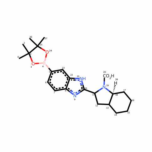 CC1(C)OB(c2ccc3nc(C4CC5CCCC[C@@H]5N4C(=O)O)[nH]c3c2)OC1(C)C